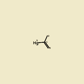 C=[C](C)[Hg]